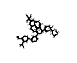 C=Cc1ccc(-c2cccc(-c3cc(C4=CCC(C)(c5ccccn5)C=C4)c4ccc5cc(C(C)(C)C)cc6ccc3c4c56)c2)cc1C(C)C